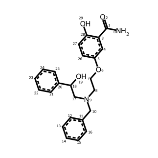 NC(=O)c1cc(OCCN(Cc2ccccc2)CC(O)c2ccccc2)ccc1O